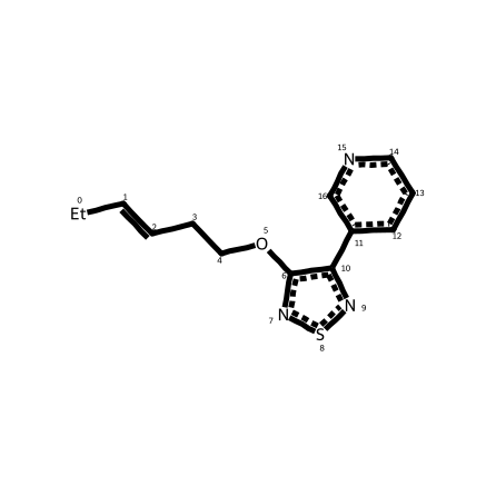 CCC=CCCOc1nsnc1-c1cccnc1